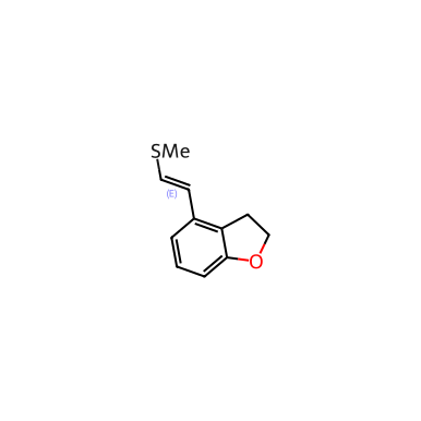 CS/C=C/c1cccc2c1CCO2